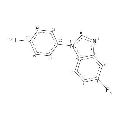 Fc1ccc2c(c1)ncn2-c1ccc(I)cc1